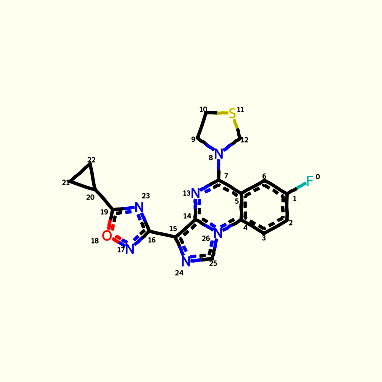 Fc1ccc2c(c1)c(N1CCSC1)nc1c(-c3noc(C4CC4)n3)ncn12